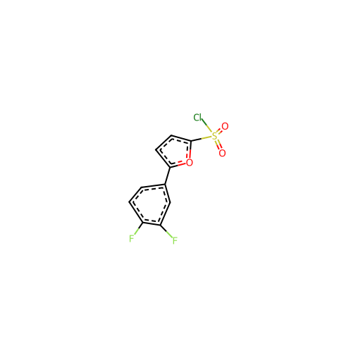 O=S(=O)(Cl)c1ccc(-c2ccc(F)c(F)c2)o1